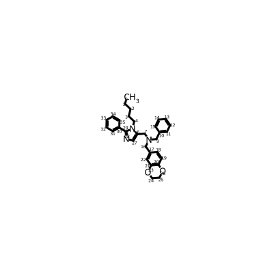 CCCCCn1c(CN(Cc2ccccc2)Cc2ccc3c(c2)OCCO3)cnc1-c1ccccc1